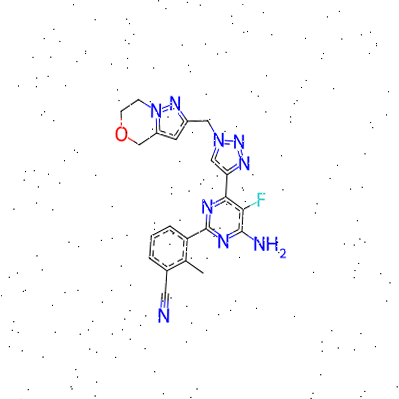 Cc1c(C#N)cccc1-c1nc(N)c(F)c(-c2cn(Cc3cc4n(n3)CCOC4)nn2)n1